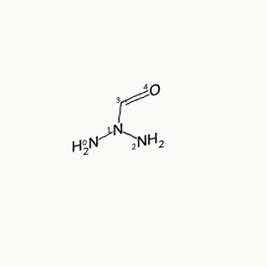 NN(N)[C]=O